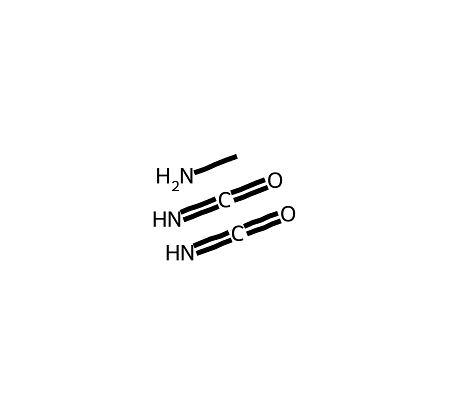 CN.N=C=O.N=C=O